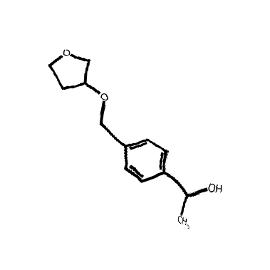 CC(O)c1ccc(COC2CCOC2)cc1